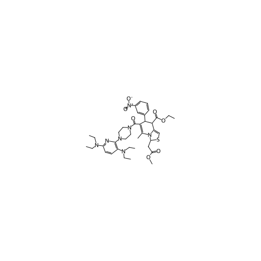 CCOC(=O)C1C2=CSC(CC(=O)OC)N2C(C)=C(C(=O)N2CCN(c3nc(N(CC)CC)ccc3N(CC)CC)CC2)C1c1cccc([N+](=O)[O-])c1